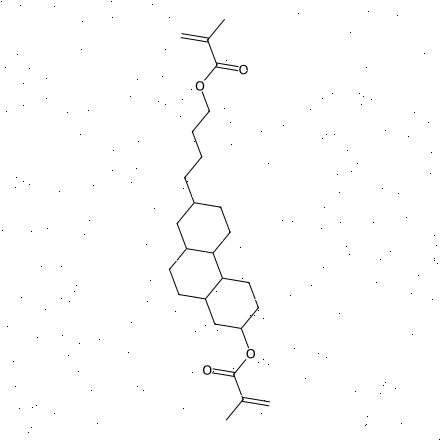 C=C(C)C(=O)OCCCCC1CCC2C(CCC3CC(OC(=O)C(=C)C)CCC32)C1